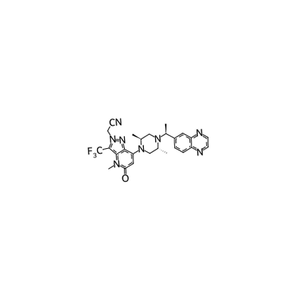 C[C@@H]1CN(c2cc(=O)n(C)c3c(C(F)(F)F)n(CC#N)nc23)[C@@H](C)CN1[C@@H](C)c1ccc2nccnc2c1